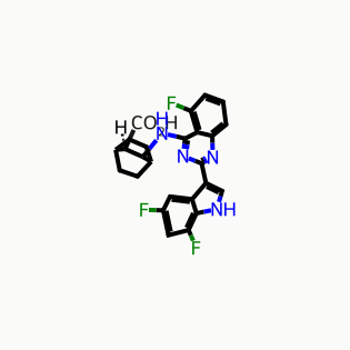 O=C(O)[C@@H]1C2CCC(CC2)C1Nc1nc(-c2c[nH]c3c(F)cc(F)cc23)nc2cccc(F)c12